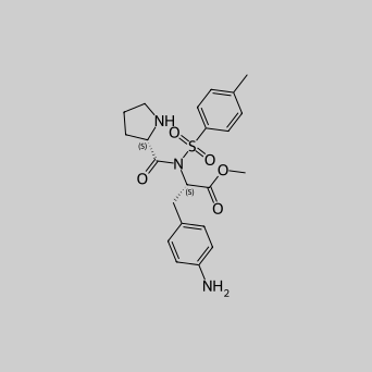 COC(=O)[C@H](Cc1ccc(N)cc1)N(C(=O)[C@@H]1CCCN1)S(=O)(=O)c1ccc(C)cc1